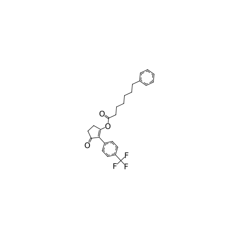 O=C(CCCCCCc1ccccc1)OC1=C(c2ccc(C(F)(F)F)cc2)C(=O)CC1